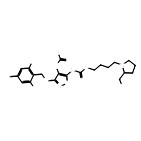 NC(=O)Oc1c(OCc2c(F)cc(Cl)cc2F)nsc1NC(=O)NCCCCN1CCCC1CO